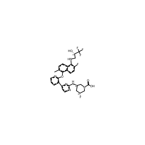 Cc1ccc2c(NC[C@H](O)C(F)(F)F)c(F)ccc2c1Oc1ncccc1-c1ccnc(N[C@@H]2C[C@@H](F)CN(C(=O)O)C2)n1